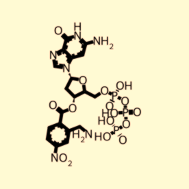 NCc1cc([N+](=O)[O-])ccc1C(=O)O[C@@H]1C[C@H](n2cnc3c(=O)[nH]c(N)cc32)OC1COP(=O)(O)OP(=O)(O)OP(=O)(O)O